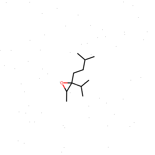 CC(C)CCC1(C(C)C)OC1C